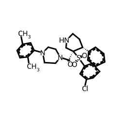 Cc1ccc(C)c(N2CCN(C(=O)[C@]3(S(=O)(=O)c4cccc(Cl)c4)CNCC[C@@H]3c3ccccc3)CC2)c1